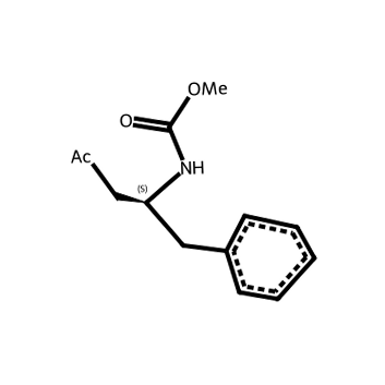 COC(=O)N[C@H](CC(C)=O)Cc1ccccc1